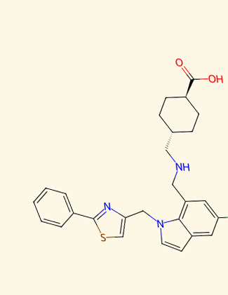 O=C(O)[C@H]1CC[C@H](CNCc2cc(Cl)cc3ccn(Cc4csc(-c5ccccc5)n4)c23)CC1